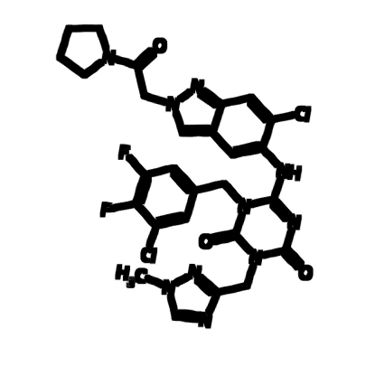 Cn1cnc(Cn2c(=O)nc(Nc3cc4cn(CC(=O)N5CCCC5)nc4cc3Cl)n(Cc3cc(F)c(F)c(Cl)c3)c2=O)n1